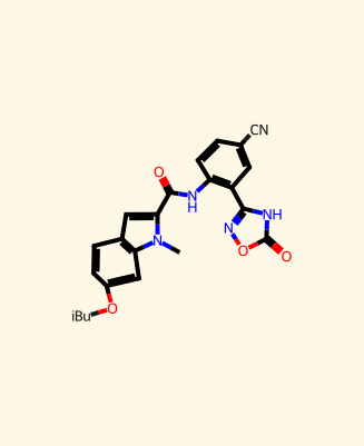 CCC(C)Oc1ccc2cc(C(=O)Nc3ccc(C#N)cc3-c3noc(=O)[nH]3)n(C)c2c1